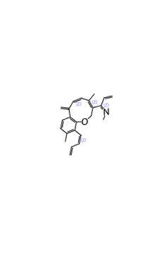 C=C/C=C\c1c(C)ccc2c1OCC(/C(C=C)=N\C)=C(C)\C=C/C2=C